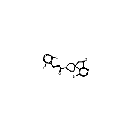 O=C1CC2(CCN(C(=O)C=Cc3c(Cl)cccc3Cl)CC2)c2c(Br)cccc21